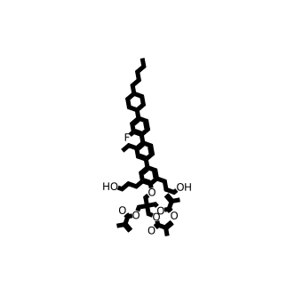 C=C(C)C(=O)OCC(COC(=O)C(=C)C)(COC(=O)C(=C)C)COc1c(CCCO)cc(-c2ccc(-c3ccc(C4CCC(CCCCC)CC4)cc3F)c(CC)c2)cc1CCCO